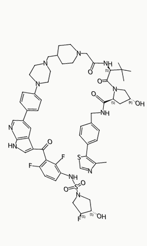 Cc1ncsc1-c1ccc(CNC(=O)[C@@H]2C[C@@H](O)CN2C(=O)[C@@H](NC(=O)CN2CCC(CN3CCN(c4ccc(-c5cnc6[nH]cc(C(=O)c7c(F)ccc(NS(=O)(=O)N8C[C@H](O)[C@@H](F)C8)c7F)c6c5)cc4)CC3)CC2)C(C)(C)C)cc1